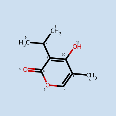 Cc1coc(=O)c(C(C)C)c1O